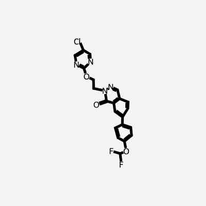 O=c1c2cc(-c3ccc(OC(F)F)cc3)ccc2cnn1CCOc1ncc(Cl)cn1